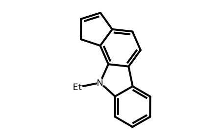 CCn1c2ccccc2c2ccc3c(c21)CC=C3